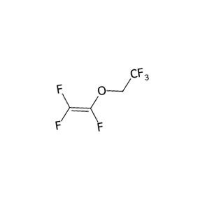 FC(F)=C(F)OCC(F)(F)F